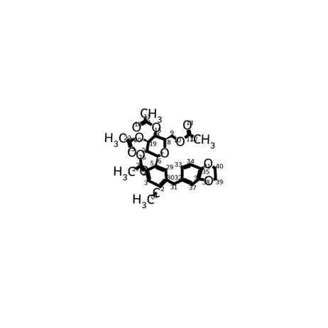 CCc1ccc([C@@H]2O[C@H](COC(C)=O)C(OC(C)=O)[C@H](OC(C)=O)C2OC(C)=O)cc1Cc1ccc2c(c1)OCCO2